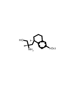 CCCCCCCCc1ccc2c(c1)CCC[C@]2(I)C[C@](C)(N)CO